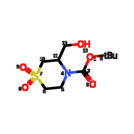 CC(C)(C)OC(=O)N1CCS(=O)(=O)CC1CO